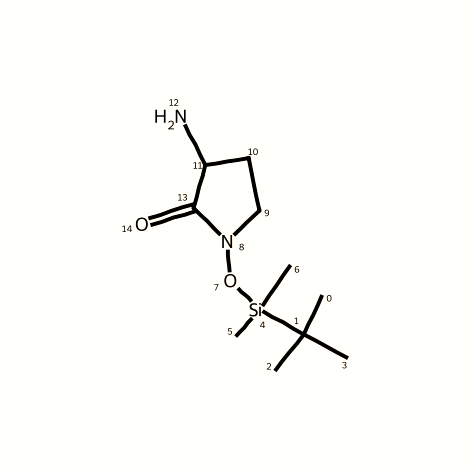 CC(C)(C)[Si](C)(C)ON1CCC(N)C1=O